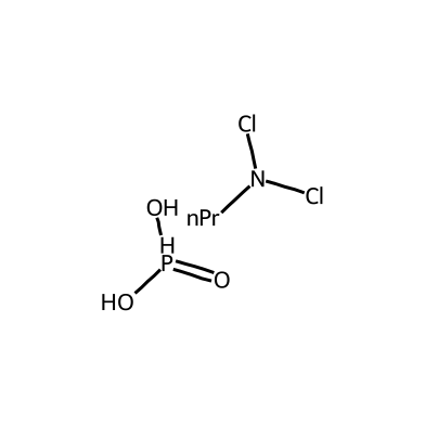 CCCN(Cl)Cl.O=[PH](O)O